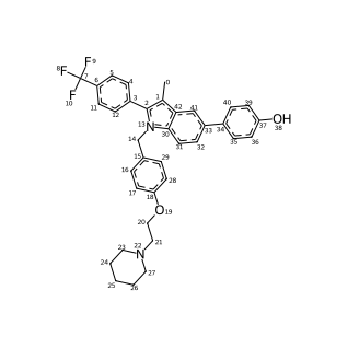 Cc1c(-c2ccc(C(F)(F)F)cc2)n(Cc2ccc(OCCN3CCCCC3)cc2)c2ccc(-c3ccc(O)cc3)cc12